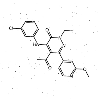 CCn1nc(-c2ccnc(OC)c2)c(C(C)=O)c(Nc2cccc(Cl)c2)c1=O